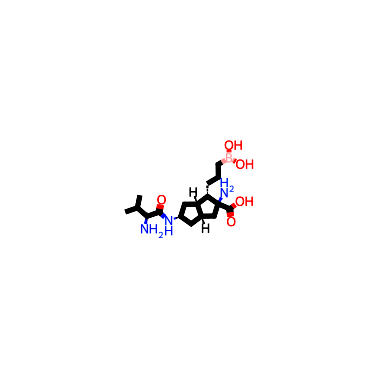 CC(C)[C@H](N)C(=O)N[C@H]1C[C@@H]2C[C@@](N)(C(=O)O)[C@@H](CCCB(O)O)[C@@H]2C1